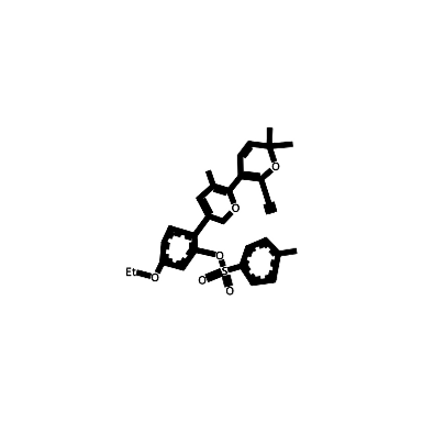 C#CC1=C(C2=C(C)C=C(c3ccc(OCC)cc3OS(=O)(=O)c3ccc(C)cc3)CO2)C=CC(C)(C)O1